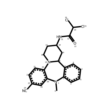 CN1c2ccccc2C2CC(NC(=O)C(Cl)Cl)CCN2c2ccc(C#N)cc21